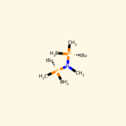 [BH3-][P@@+](C)(N(C)[P@@+]([BH3-])(C)C(C)(C)C)C(C)(C)C